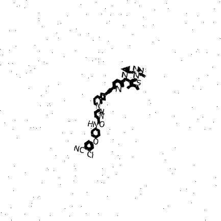 Cc1sc2c(c1C)C(c1ccc(C#CC3CC4(CCCN(c5ccc(C(=O)N[C@H]6CC[C@H](Oc7ccc(C#N)c(Cl)c7)CC6)nn5)C4)C3)nc1)=NC1(CC1)c1nnc(C)n1-2